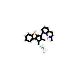 CC1=C(c2cccc3c2NC(C)CC3)c2sc3ccccc3c2C1C.[Cl-].[Cl-].[Ti+2]